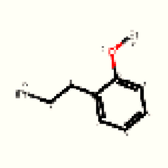 CCOc1ccccc1CCC(C)C